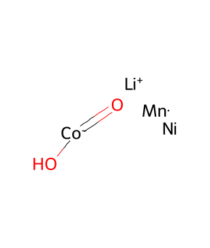 [Li+].[Mn].[Ni].[O]=[Co-][OH]